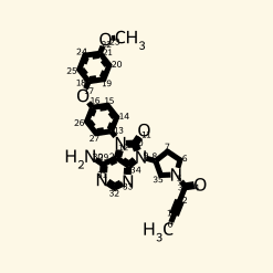 CC#CC(=O)N1CCC(n2c(=O)n(-c3ccc(Oc4ccc(OC)cc4)cc3)c3c(N)ncnc32)C1